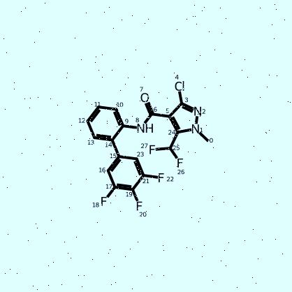 Cn1nc(Cl)c(C(=O)Nc2ccccc2-c2cc(F)c(F)c(F)c2)c1C(F)F